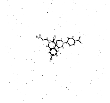 CC(C)[C@H]1CC[C@@H](N2CCC3(CC2)C(=O)N(CCN)Cc2cc(Br)ccc23)CC1